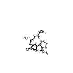 COC(=O)C=CC(C)Oc1cc(N2CCCCN2C(N)=S)c(F)cc1Cl